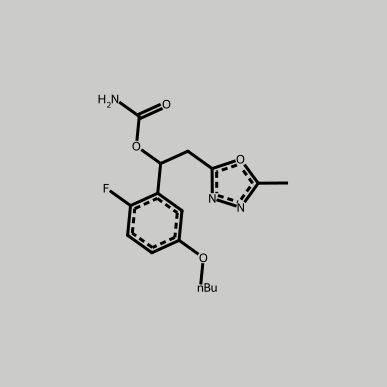 CCCCOc1ccc(F)c(C(Cc2nnc(C)o2)OC(N)=O)c1